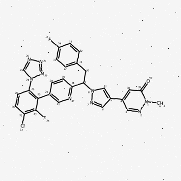 Cn1ncc(-c2cnn(C(Cc3ccc(F)cc3)c3ccc(-c4c(-n5cnnn5)ccc(Cl)c4F)cn3)c2)cc1=O